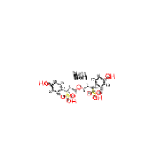 O=S(=O)(O)C(CCOCCC(c1ccc(O)cc1)S(=O)(=O)O)c1ccc(O)cc1.[NaH].[NaH]